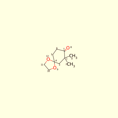 CC1(C)CC2(CCC1=O)OCCO2